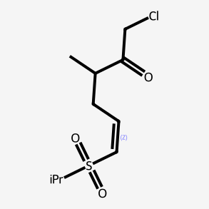 CC(C/C=C\S(=O)(=O)C(C)C)C(=O)CCl